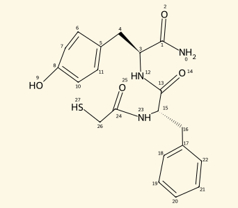 NC(=O)[C@H](Cc1ccc(O)cc1)NC(=O)[C@H](Cc1ccccc1)NC(=O)CS